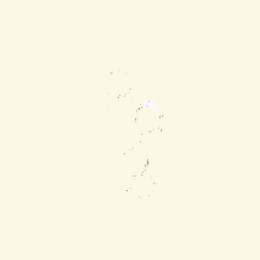 Fc1ccc(-c2[c]c(-c3ccc4ccccc4c3)ccn2)c(F)c1